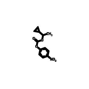 CC(OC(=O)Oc1ccc([N+](=O)[O-])cc1)C1CC1